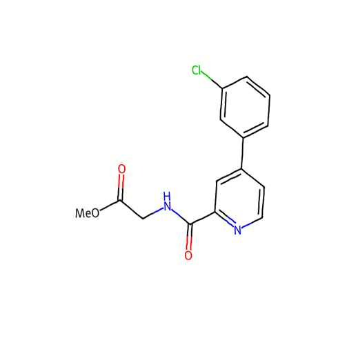 COC(=O)CNC(=O)c1cc(-c2cccc(Cl)c2)ccn1